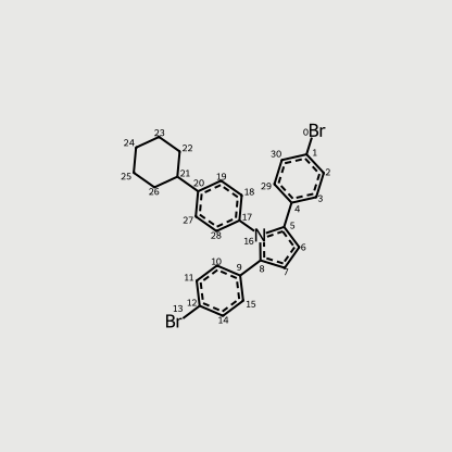 Brc1ccc(-c2ccc(-c3ccc(Br)cc3)n2-c2ccc(C3CCCCC3)cc2)cc1